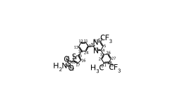 Cc1cc(-c2cc(C(F)(F)F)nc(-c3cccc(-c4ccc(S(N)(=O)=O)s4)c3)n2)ccc1C(F)(F)F